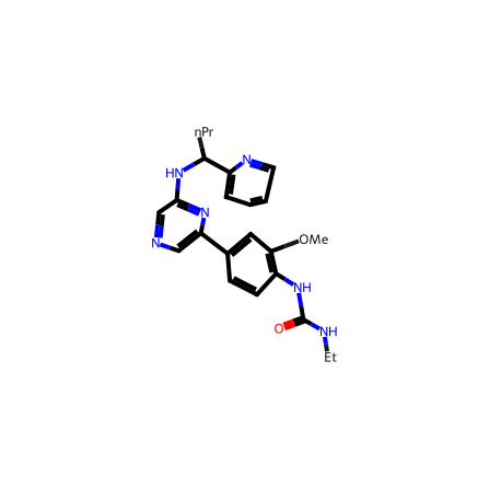 CCCC(Nc1cncc(-c2ccc(NC(=O)NCC)c(OC)c2)n1)c1ccccn1